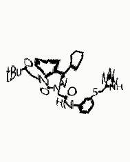 CC(C)(C)C(=O)CN1C(=O)N(CC(=O)Nc2cccc(SCc3nnn[nH]3)c2)N=C(C2CCCCC2)c2ccccc21